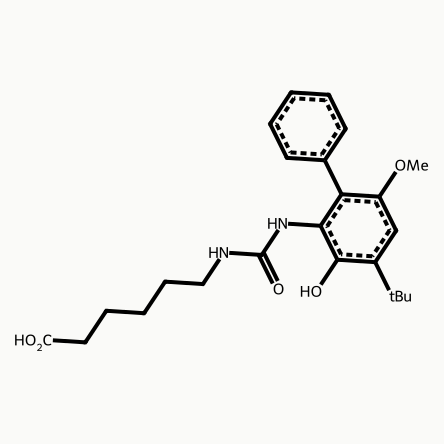 COc1cc(C(C)(C)C)c(O)c(NC(=O)NCCCCCC(=O)O)c1-c1ccccc1